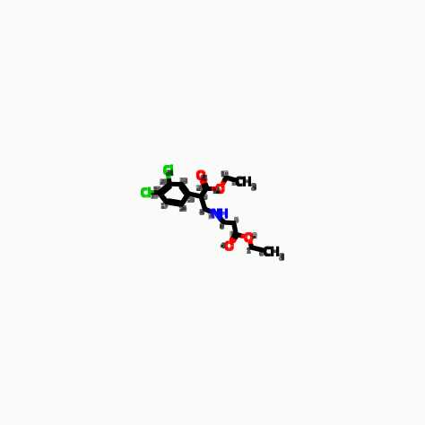 CCOC(=O)CCNCC(C(=O)OCC)c1ccc(Cl)c(Cl)c1